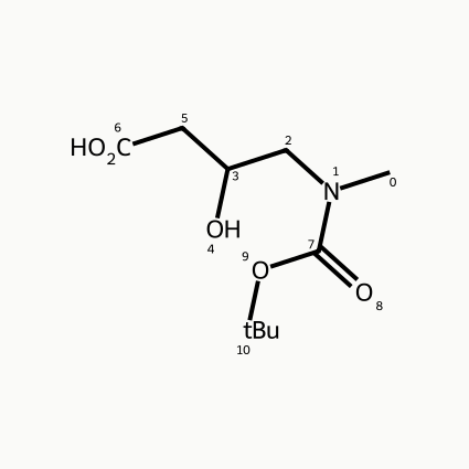 CN(CC(O)CC(=O)O)C(=O)OC(C)(C)C